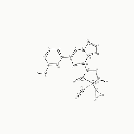 COc1cccc(-c2cn3nccc3c(N3C[C@@H](C)[C@@](C#N)(C4CC4)C3=O)n2)n1